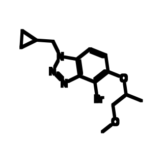 COCC(C)Oc1ccc2c(nnn2CC2CC2)c1Br